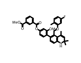 COC(=O)c1cccc(C(=O)Oc2ccc(-c3ccc4c(c3COc3cc(F)ccc3C)C(C)=CC(C)(C)N4)c(OC)c2)c1